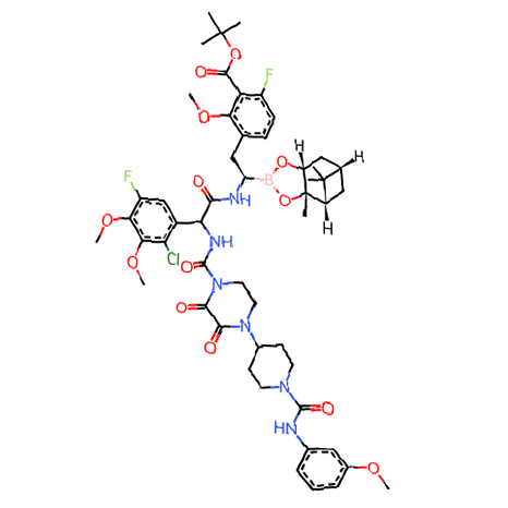 COc1cccc(NC(=O)N2CCC(N3CCN(C(=O)NC(C(=O)N[C@@H](Cc4ccc(F)c(C(=O)OC(C)(C)C)c4OC)B4O[C@@H]5C[C@@H]6C[C@@H](C6(C)C)[C@]5(C)O4)c4cc(F)c(OC)c(OC)c4Cl)C(=O)C3=O)CC2)c1